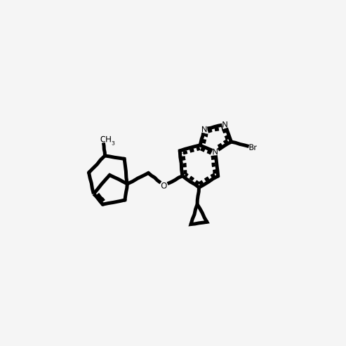 CC1CC2=CCC(COc3cc4nnc(Br)n4cc3C3CC3)(C2)C1